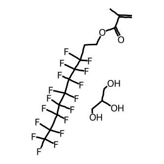 C=C(C)C(=O)OCCC(F)(F)C(F)(F)C(F)(F)C(F)(F)C(F)(F)C(F)(F)C(F)(F)C(F)(F)F.OCC(O)CO